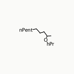 CCCCCCCCC(C)OCCC